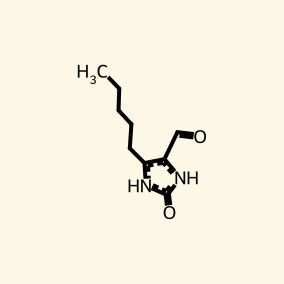 CCCCCc1[nH]c(=O)[nH]c1C=O